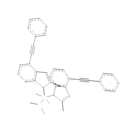 CC1=Cc2c(C#Cc3ccccc3)cccc2[CH]1[Zr]([Cl])([Cl])([CH]1C(C)=Cc2c(C#Cc3ccccc3)cccc21)[SiH](C)C